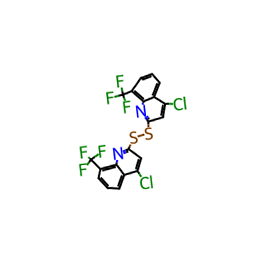 FC(F)(F)c1cccc2c(Cl)cc(SSc3cc(Cl)c4cccc(C(F)(F)F)c4n3)nc12